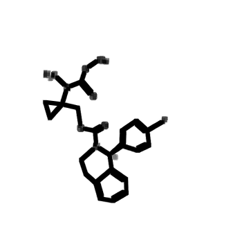 CN(C(=O)OC(C)(C)C)C1(COC(=O)N2CCc3ccccc3[C@@H]2c2ccc(F)cc2)CC1